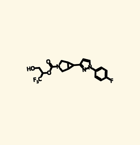 O=C(OC(CO)C(F)(F)F)N1CC2C(C1)C2c1ccn(-c2ccc(F)cc2)n1